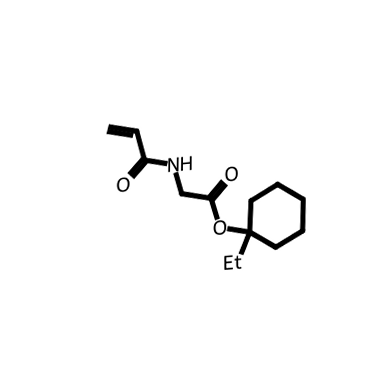 C=CC(=O)NCC(=O)OC1(CC)CCCCC1